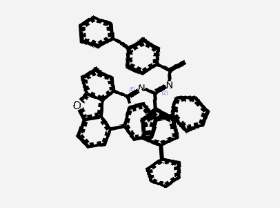 C=C(/N=C(\N=C(/C)c1cccc2oc3cccc(-c4ccc(-c5ccccc5)cc4)c3c12)c1ccc(-c2ccccc2)cc1)c1ccc(-c2ccccc2)cc1